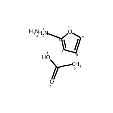 CC(=O)O.N.Nc1ccco1